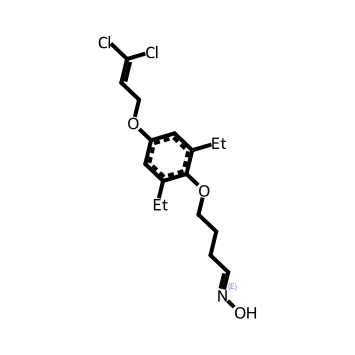 CCc1cc(OCC=C(Cl)Cl)cc(CC)c1OCCC/C=N/O